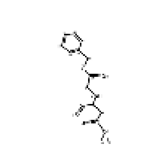 COC(=O)C[C@@H](C=O)NCC(=O)OCc1ccccc1